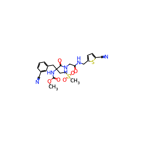 COC(=O)NC(CCS(C)(=O)=O)(Cc1cccc(C#N)c1)C(=O)NCC(=O)NCc1ccc(C#N)s1